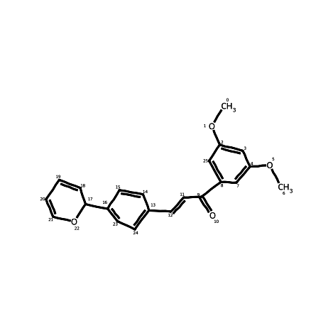 COc1cc(OC)cc(C(=O)C=Cc2ccc(C3C=CC=CO3)cc2)c1